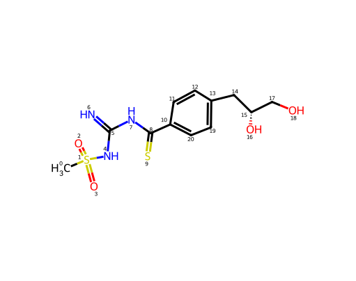 CS(=O)(=O)NC(=N)NC(=S)c1ccc(C[C@@H](O)CO)cc1